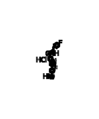 Cl.Cn1c2cc(C(=O)NCCCN3CCC(F)CC3)ccc2n2cc(-c3ccc([C@@H]4CCCN4)cc3F)nc12